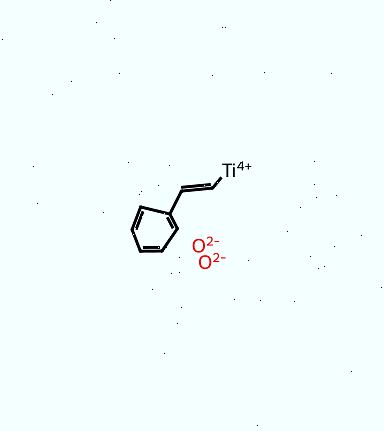 [O-2].[O-2].[Ti+4][CH]=Cc1ccccc1